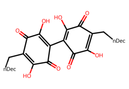 CCCCCCCCCCCC1=C(O)C(=O)C(C2=C(O)C(=O)C(CCCCCCCCCCC)=C(O)C2=O)=C(O)C1=O